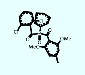 COc1cc(C)cc(OC)c1C(=O)P(=O)(C(=O)c1c(Cl)cccc1Cl)c1ccccc1